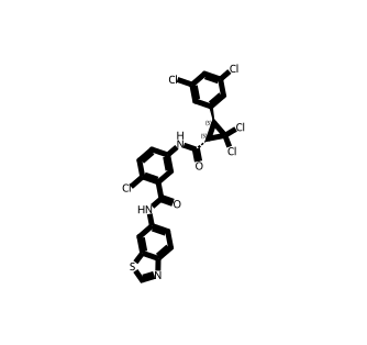 O=C(Nc1ccc2ncsc2c1)c1cc(NC(=O)[C@@H]2[C@@H](c3cc(Cl)cc(Cl)c3)C2(Cl)Cl)ccc1Cl